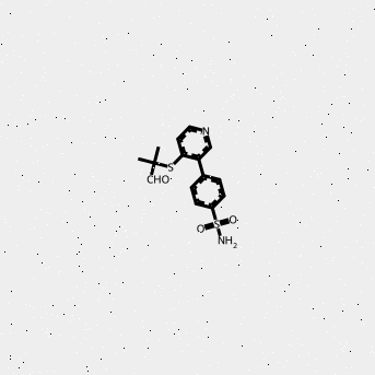 CC(C)(C=O)Sc1ccncc1-c1ccc(S(N)(=O)=O)cc1